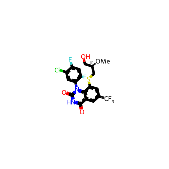 CO[C@H](CO)CSc1cc(C(F)(F)F)cc2c(=O)[nH]c(=O)n(-c3cc(Cl)c(F)cc3F)c12